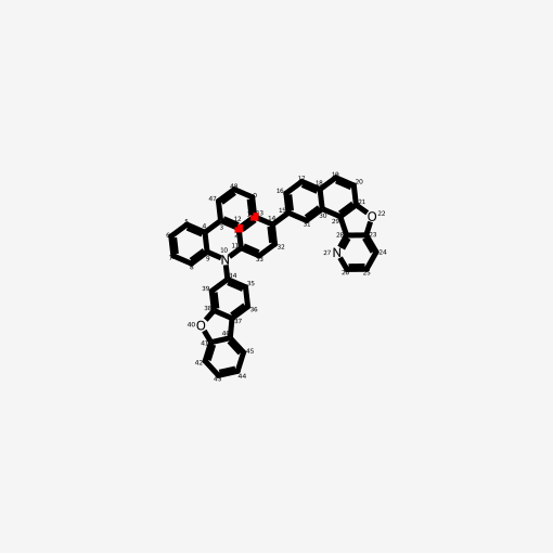 c1ccc(-c2ccccc2N(c2ccc(-c3ccc4ccc5oc6cccnc6c5c4c3)cc2)c2ccc3c(c2)oc2ccccc23)cc1